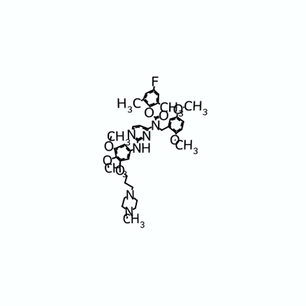 COc1ccc(OC)c(CN(C(=O)Oc2c(C)cc(F)cc2C)c2ccnc(Nc3cc(OC)c(OC)c(OCCCN4CCN(C)CC4)c3)n2)c1